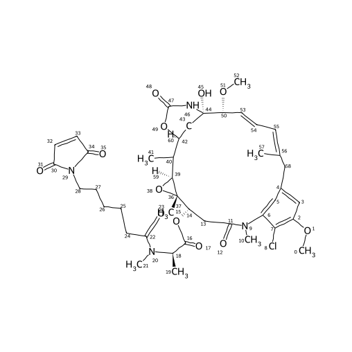 COc1cc2cc(c1Cl)N(C)C(=O)C[C@H](OC(=O)[C@@H](C)N(C)C(=O)CCCCCN1C(=O)C=CC1=O)[C@]1(C)O[C@H]1C(C)[C@@H]1C[C@@](O)(NC(=O)O1)[C@H](OC)/C=C/C=C(\C)C2